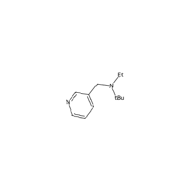 CCN(Cc1cccnc1)C(C)(C)C